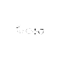 COP(=O)(CC(=O)C1CCN(S(=O)(=O)c2ccccc2)CC1)OC